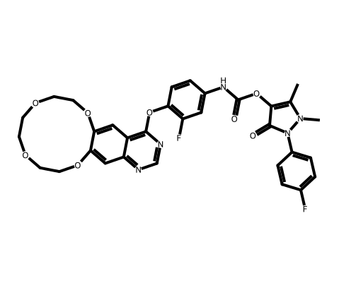 Cc1c(OC(=O)Nc2ccc(Oc3ncnc4cc5c(cc34)OCCOCCOCCO5)c(F)c2)c(=O)n(-c2ccc(F)cc2)n1C